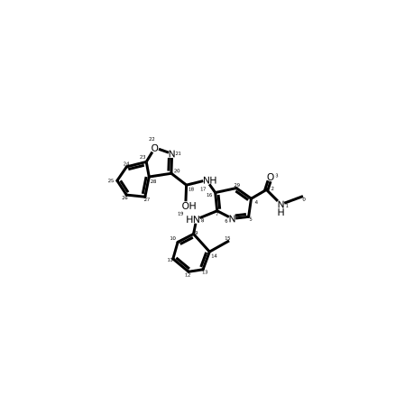 CNC(=O)c1cnc(Nc2ccccc2C)c(NC(O)c2noc3ccccc23)c1